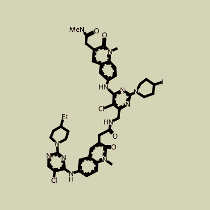 CCC1CCN(c2ncc(Cl)c(Nc3ccc4c(c3)cc(CC(=O)NCc3nc(N5CCC(I)CC5)nc(Nc5ccc6c(c5)cc(CC(=O)NC)c(=O)n6C)c3Cl)c(=O)n4C)n2)CC1